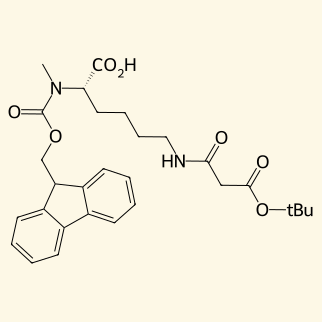 CN(C(=O)OCC1c2ccccc2-c2ccccc21)[C@@H](CCCCNC(=O)CC(=O)OC(C)(C)C)C(=O)O